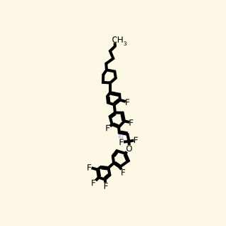 CCCCCC1CCC(c2ccc(-c3cc(F)c(/C=C/C(F)(F)Oc4ccc(-c5cc(F)c(F)c(F)c5)c(F)c4)c(F)c3)c(F)c2)CC1